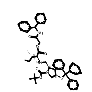 CC[C@H](C)[C@H](NC[C@H]1C[C@@H](SC(c2ccccc2)(c2ccccc2)c2ccccc2)CN1C(=O)OC(C)(C)C)C(=O)OCC(=O)NC(c1ccccc1)c1ccccc1